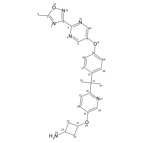 Cc1nc(-c2ncc(Oc3ccc(C(C)(C)c4ccc(OC5CC(N)C5)cn4)cc3)cn2)no1